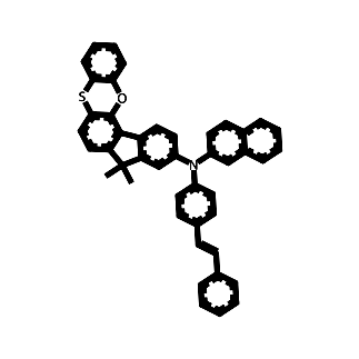 CC1(C)c2cc(N(c3ccc(/C=C/c4ccccc4)cc3)c3ccc4ccccc4c3)ccc2-c2c1ccc1c2Oc2ccccc2S1